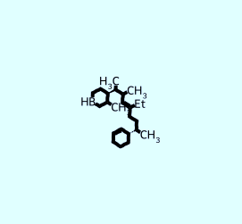 CC/C(=C\C(C)C(C)[C@@H]1CCBCC1C)CCC(C)[C@H]1C=CCCC1